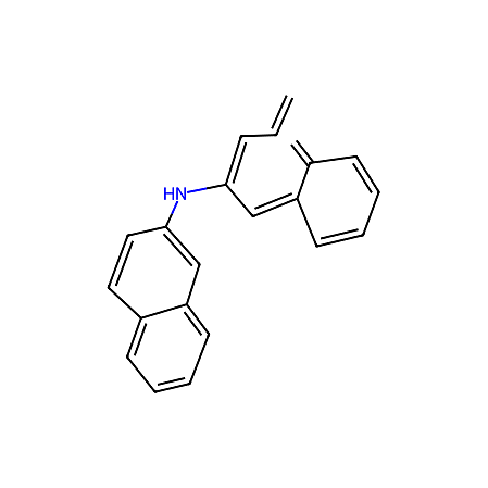 C=C/C=C(\C=c1\ccccc1=C)Nc1ccc2ccccc2c1